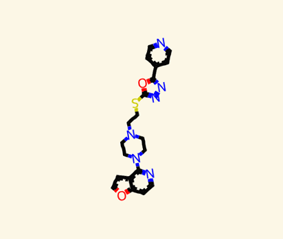 c1cc(-c2nnc(SCCN3CCN(c4nccc5occc45)CC3)o2)ccn1